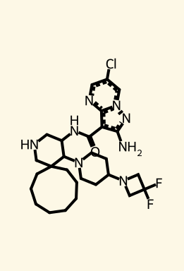 Nc1nn2cc(Cl)cnc2c1C(=O)NC1CNCC2(CCCCCCCC2)C1N1CCC(N2CC(F)(F)C2)CC1